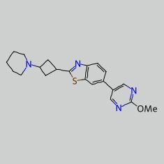 COc1ncc(-c2ccc3nc(C4CC(N5CCCCC5)C4)sc3c2)cn1